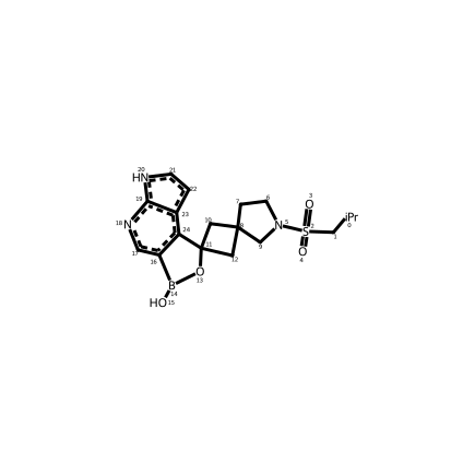 CC(C)CS(=O)(=O)N1CCC2(C1)CC1(C2)OB(O)c2cnc3[nH]ccc3c21